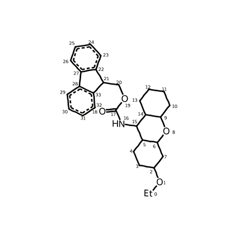 CCOC1CCC2C(C1)OC1CCCCC1C2NC(=O)OCC1c2ccccc2-c2ccccc21